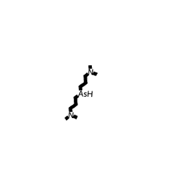 CN(C)CCC[AsH]CCCN(C)C